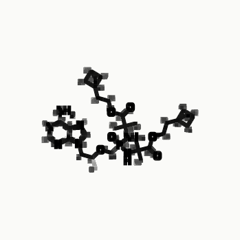 C[C@H](Cn1cnc2c(N)ncnc21)OCP(=O)(NC(C)(C)C(=O)OCCC12CC(C1)C2)NC(C)(C)C(=O)OCCC12CC(C1)C2